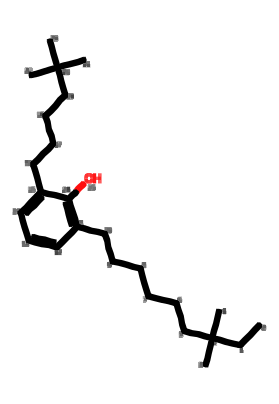 CCC(C)(C)CCCCCCc1cccc(CCCCC(C)(C)C)c1O